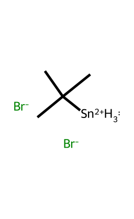 C[C](C)(C)[SnH3+2].[Br-].[Br-]